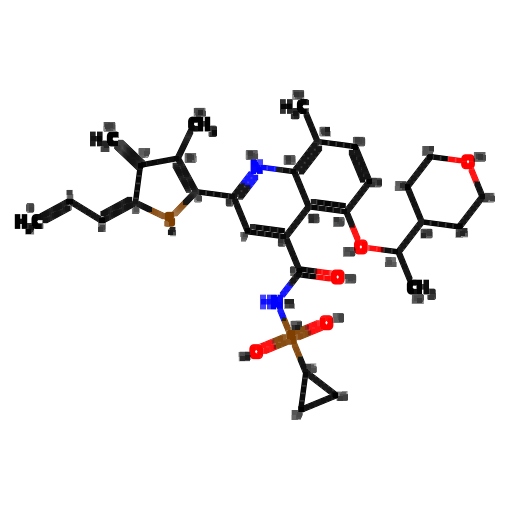 C=C/C=c1/sc(-c2cc(C(=O)NS(=O)(=O)C3CC3)c3c(OC(C)C4CCOCC4)ccc(C)c3n2)c(C)c1=C